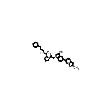 CC(=O)c1cn(CC(=O)N2C[C@H](F)C[C@H]2C(=O)NCCCc2ccccc2)c2ccc(-c3cnc4cc(C)nn4c3)cc12